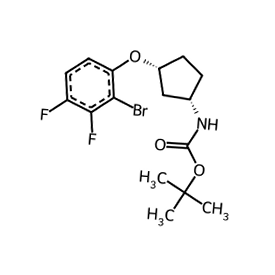 CC(C)(C)OC(=O)N[C@H]1CC[C@@H](Oc2ccc(F)c(F)c2Br)C1